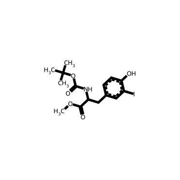 COC(=O)C(Cc1ccc(O)c(I)c1)NC(=O)OC(C)(C)C